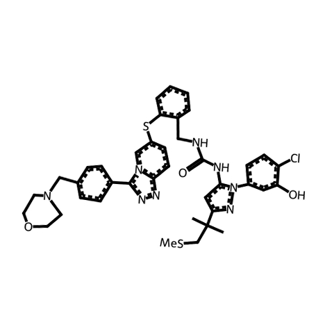 CSCC(C)(C)c1cc(NC(=O)NCc2ccccc2Sc2ccc3nnc(-c4ccc(CN5CCOCC5)cc4)n3c2)n(-c2ccc(Cl)c(O)c2)n1